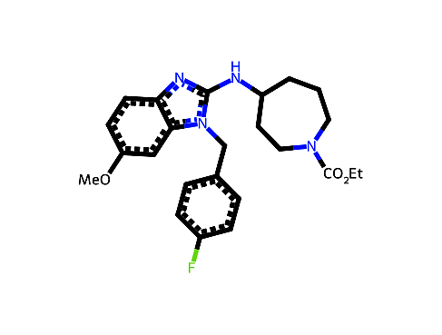 CCOC(=O)N1CCCC(Nc2nc3ccc(OC)cc3n2Cc2ccc(F)cc2)CC1